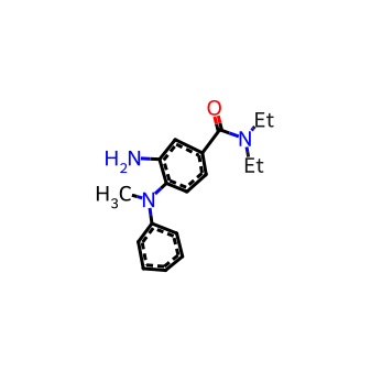 CCN(CC)C(=O)c1ccc(N(C)c2ccccc2)c(N)c1